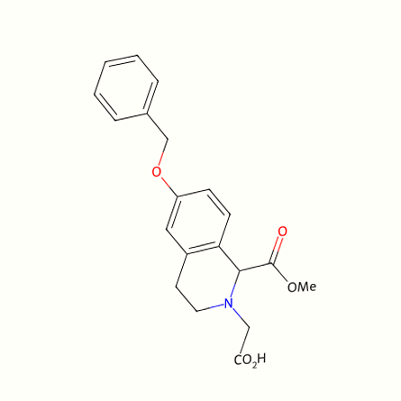 COC(=O)C1c2ccc(OCc3ccccc3)cc2CCN1CC(=O)O